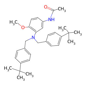 COc1ccc(NC(C)=O)cc1N(Cc1ccc(C(C)(C)C)cc1)Cc1ccc(C(C)(C)C)cc1